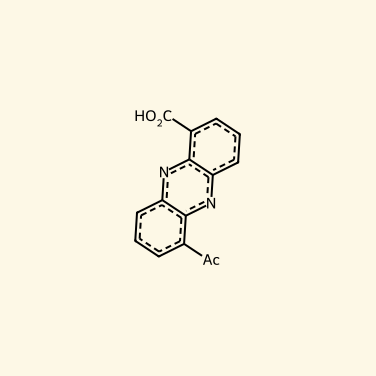 CC(=O)c1cccc2nc3c(C(=O)O)cccc3nc12